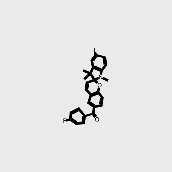 CN1c2ccc(I)cc2C(C)(C)C12C=Cc1cc(C(=O)c3ccc(F)cc3)ccc1O2